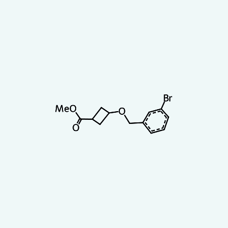 COC(=O)C1CC(OCc2cccc(Br)c2)C1